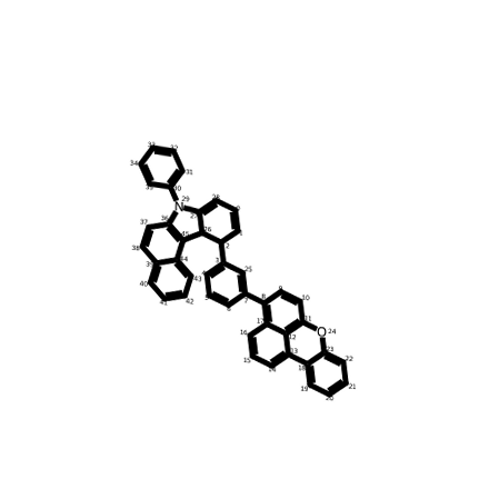 C1=CC(c2cccc(-c3ccc4c5c(cccc35)-c3ccccc3O4)c2)C2C(=C1)N(c1ccccc1)c1ccc3ccccc3c12